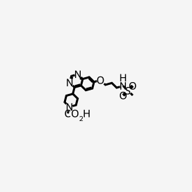 CS(=O)(=O)NCCCOc1ccc2c(C3CCN(C(=O)O)CC3)ncnc2c1